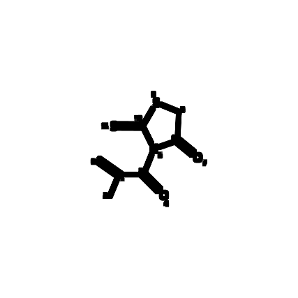 C=C(C)C(=O)N1C(=O)CSC1=S